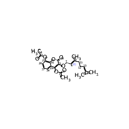 CC(=O)Oc1c(OC/C=C(\C)CCC=C(C)C)c(=O)oc2c(OC(C)=O)cccc12